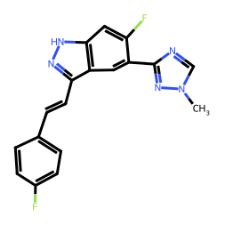 Cn1cnc(-c2cc3c(/C=C/c4ccc(F)cc4)n[nH]c3cc2F)n1